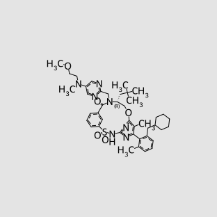 COCCN(C)c1cnc(CN2C(=O)c3cccc(c3)S(=O)(=O)Nc3nc(c(C)c(-c4c(C)cccc4CC4CCCCC4)n3)OC[C@H]2CC(C)(C)C)nc1